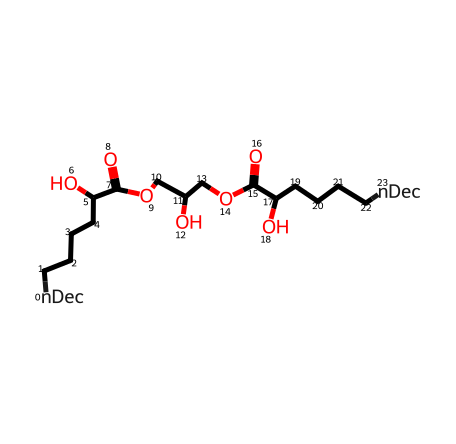 CCCCCCCCCCCCCCC(O)C(=O)OCC(O)COC(=O)C(O)CCCCCCCCCCCCCC